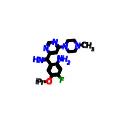 CC(C)Oc1cc(C(=N)c2cc(N3CCN(C)CC3)ncn2)c(N)cc1F